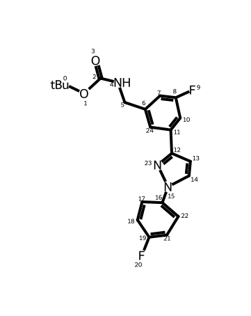 CC(C)(C)OC(=O)NCc1cc(F)cc(-c2ccn(-c3ccc(F)cc3)n2)c1